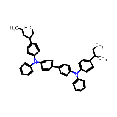 CCCC(CC)c1ccc(N(c2ccccc2)c2ccc(-c3ccc(N(c4ccccc4)c4ccc(C(C)CC)cc4)cc3)cc2)cc1